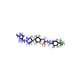 Cn1cc(Nc2ncc(-c3ccc(CC(=O)NCc4ccc(C(F)(F)F)cc4)cc3)cn2)cn1